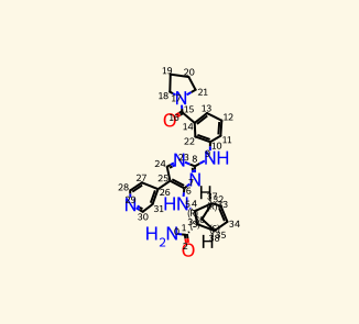 NC(=O)[C@@H]1[C@H](Nc2nc(Nc3cccc(C(=O)N4CCCC4)c3)ncc2-c2ccncc2)[C@H]2C=C[C@@H]1C2